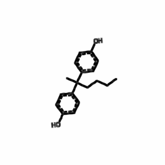 CCCCC(C)(c1ccc(O)cc1)c1ccc(O)cc1